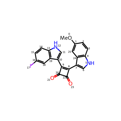 COc1ccc2[nH]cc(-c3c(-c4c[nH]c5ccc(I)cc45)c(=O)c3=O)c2c1